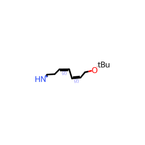 CC(C)(C)OC/C=C\C=C/CC=N